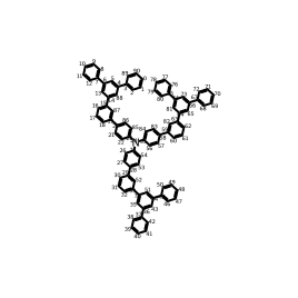 c1ccc(-c2cc(-c3ccccc3)cc(-c3cccc(-c4ccc(N(c5ccc(-c6cccc(-c7cc(-c8ccccc8)cc(-c8ccccc8)c7)c6)cc5)c5ccc(-c6cccc(-c7cc(-c8ccccc8)cc(-c8ccccc8)c7)c6)cc5)cc4)c3)c2)cc1